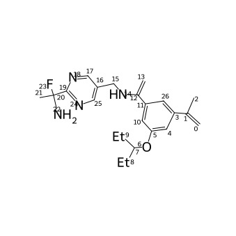 C=C(C)c1cc(OC(CC)CC)cc(C(=C)NCc2cnc(C(C)(N)F)nc2)c1